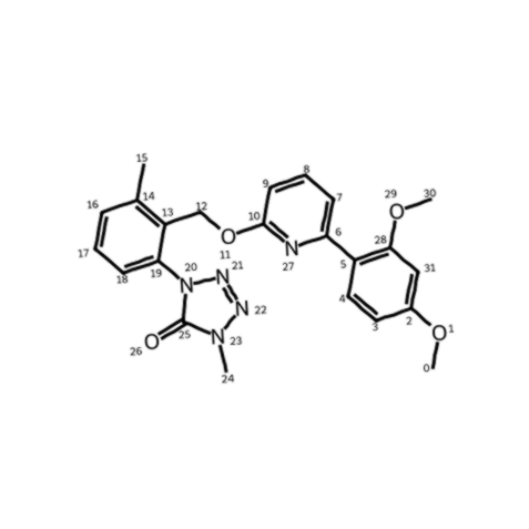 COc1ccc(-c2cccc(OCc3c(C)cccc3-n3nnn(C)c3=O)n2)c(OC)c1